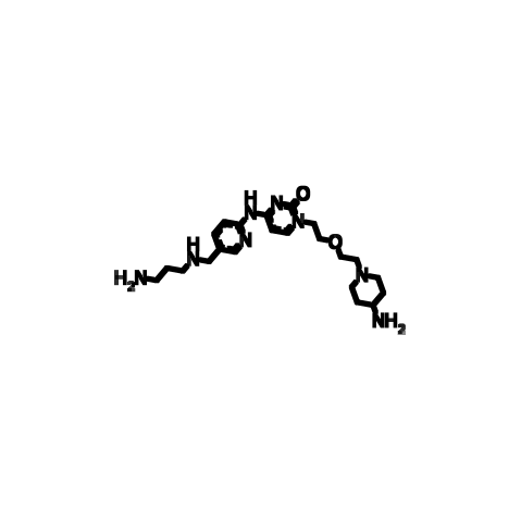 NCCCNCc1ccc(Nc2ccn(CCOCCN3CCC(N)CC3)c(=O)n2)nc1